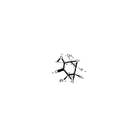 CC(C)[C@]12O[C@H]1[C@@H]1O[C@]1(C)[C@@]1(CO1)C2=O